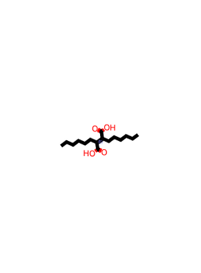 CCCCCC/C(C(=O)O)=C(/CCCCCC)C(=O)O